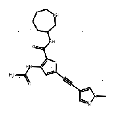 Cn1cc(C#Cc2cc(NC(N)=O)c(C(=O)NC3CCCCNC3)s2)cn1